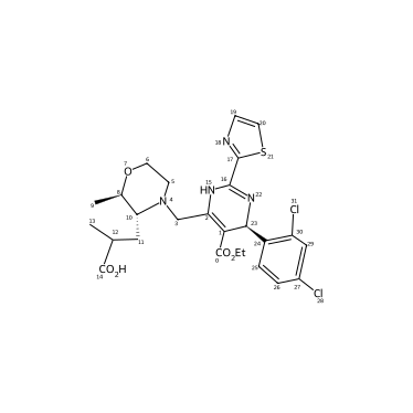 CCOC(=O)C1=C(CN2CCO[C@H](C)[C@H]2CC(C)C(=O)O)NC(c2nccs2)=N[C@H]1c1ccc(Cl)cc1Cl